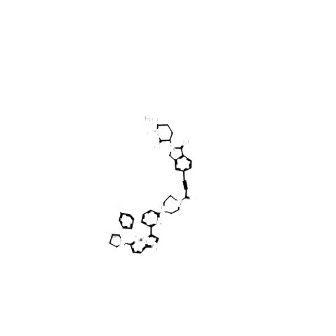 O=C1NC(O)CCC1N1Cc2cc(C#CC(=O)N3CCN(c4cccc(-c5cnc6ccc(N7CCC[C@@H]7c7cccc(F)c7)nn56)n4)CC3)ccc2C1=O